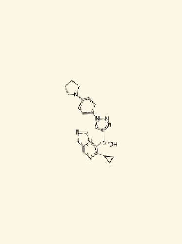 O[C@@H](c1cn(-c2ccc(N3CCCC3)cc2)nn1)c1c(C2CC2)ncc2cncn12